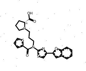 O=C(O)[C@H]1CCCN1CCCN(C(=O)c1cccs1)c1nc(-c2cc3ccccc3o2)cs1